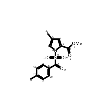 COC(=O)c1cc(I)cn1S(=O)(=O)C(=O)c1ccc(C)cc1